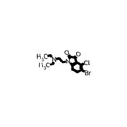 CCN(CC)CCN1C(=O)C(=O)c2c1ccc(Br)c2Cl